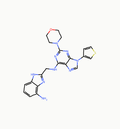 Nc1cccc2[nH]c(CNc3nc(N4CCOCC4)nc4c3ncn4-c3ccsc3)nc12